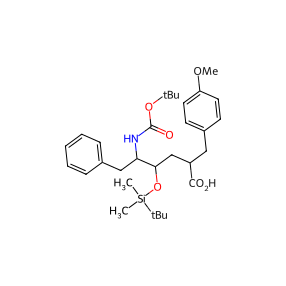 COc1ccc(CC(CC(O[Si](C)(C)C(C)(C)C)C(Cc2ccccc2)NC(=O)OC(C)(C)C)C(=O)O)cc1